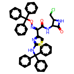 O=C(NC1C(=O)NC1CCl)C(=NOC(c1ccccc1)(c1ccccc1)c1ccccc1)c1csc(NC(c2ccccc2)(c2ccccc2)c2ccccc2)n1